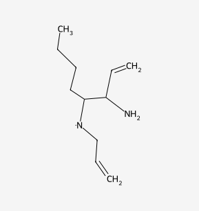 C=CC[N]C(CCCC)C(N)C=C